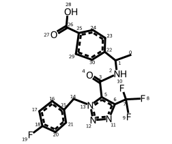 CC(NC(=O)c1c(C(F)(F)F)nnn1Cc1ccc(F)cc1)c1ccc(C(=O)O)cc1